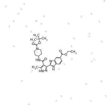 CCOC(=O)c1ccc2[nH]c(-c3n[nH]c(C)c3C(=O)NC3CCN(C(=O)OC(C)(C)C)CC3)nc2c1